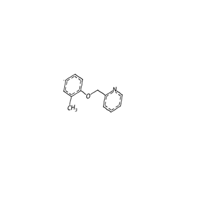 Cc1c[c]ccc1OCc1ccccn1